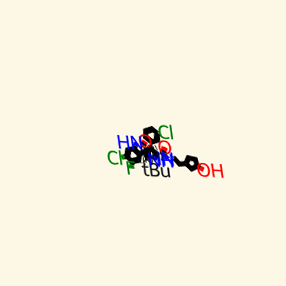 CC(C)(C)C[C@H]1N[C@@H](C(=O)NCCC2CCC(O)C2)[C@H](c2cccc(Cl)c2)[C@@]12C(=O)Nc1cc(Cl)c(F)cc12